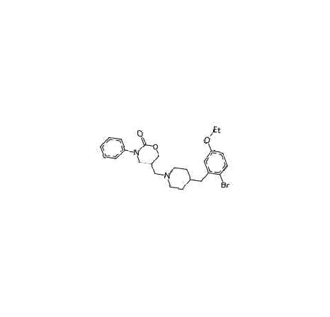 CCOc1ccc(Br)c(CC2CCN(CC3COC(=O)N(c4ccccc4)C3)CC2)c1